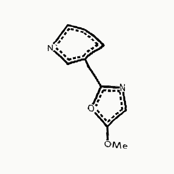 COc1cnc(-c2cccnc2)o1